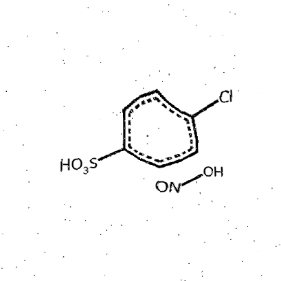 O=NO.O=S(=O)(O)c1ccc(Cl)cc1